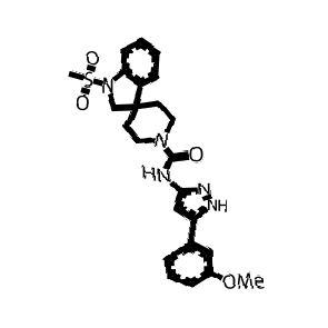 COc1cccc(-c2cc(NC(=O)N3CCC4(CC3)CN(S(C)(=O)=O)c3ccccc34)n[nH]2)c1